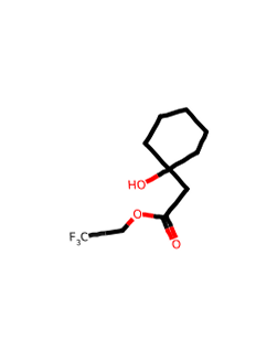 O=C(CC1(O)CCCCC1)OCC(F)(F)F